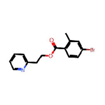 Cc1cc(Br)ccc1C(=O)OCCc1ccccn1